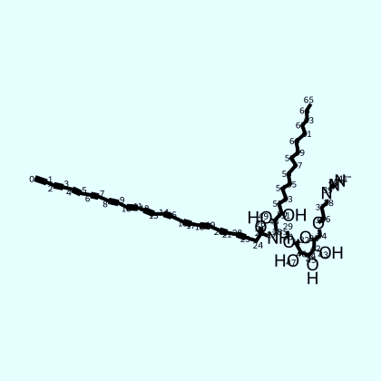 C#CC#CC#CC#CC#CC#CC#CC#CC#CC#CC#CC#CCC(=O)N[C@@H](CO[C@H]1OC(COCCCN=[N+]=[N-])[C@H](O)[C@H](O)C1O)[C@H](O)[C@H](O)CCCCCCCCCCCCCC